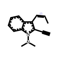 C#Cc1c(/C=C\C)c2ccccc2n1N(C)C